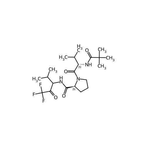 CC(C)C(NC(=O)[C@@H]1CCCN1C(=O)[C@@H](NC(=O)C(C)(C)C)C(C)C)C(=O)C(F)(F)F